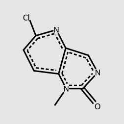 Cn1c(=O)ncc2nc(Cl)ccc21